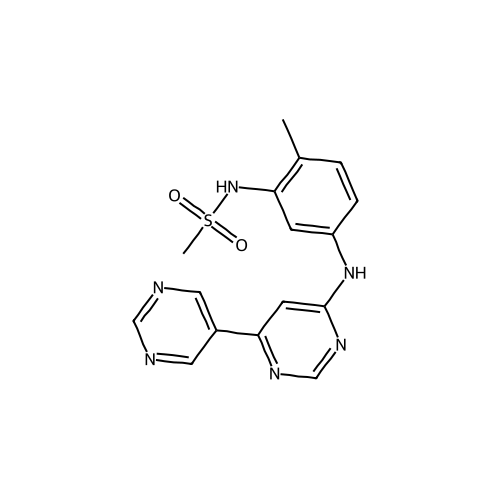 Cc1ccc(Nc2cc(-c3cncnc3)ncn2)cc1NS(C)(=O)=O